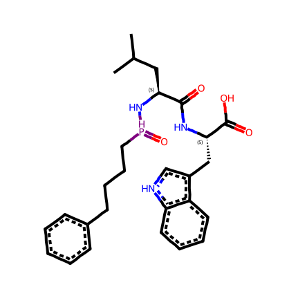 CC(C)C[C@H](N[PH](=O)CCCCc1ccccc1)C(=O)N[C@@H](Cc1c[nH]c2ccccc12)C(=O)O